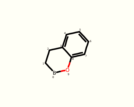 [B]1CCc2ccccc2O1